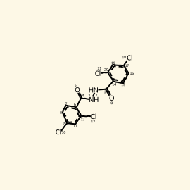 O=C(NNC(=O)c1ccc(Cl)cc1Cl)c1ccc(Cl)cc1Cl